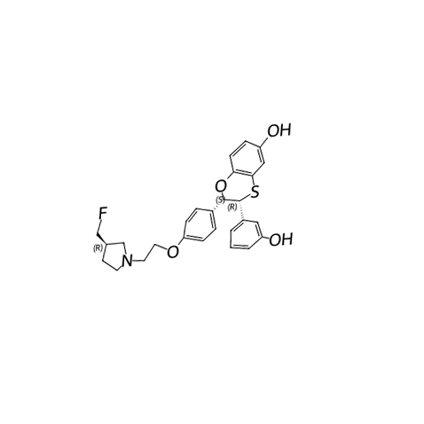 Oc1cccc([C@H]2Sc3cc(O)ccc3O[C@H]2c2ccc(OCCN3CC[C@@H](CF)C3)cc2)c1